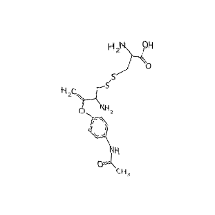 C=C(Oc1ccc(NC(C)=O)cc1)C(N)CSSCC(N)C(=O)O